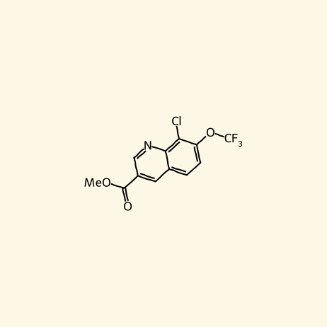 COC(=O)c1cnc2c(Cl)c(OC(F)(F)F)ccc2c1